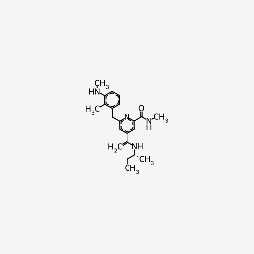 C=C(N[C@H](C)CC)c1cc(Cc2cccc(NC)c2C)nc(C(=O)NC)c1